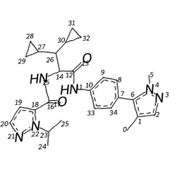 Cc1cnn(C)c1-c1ccc(NC(=O)C(NC(=O)c2ccnn2C(C)C)C(C2CC2)C2CC2)cc1